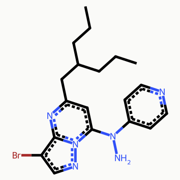 CCCC(CCC)Cc1cc(N(N)c2ccncc2)n2ncc(Br)c2n1